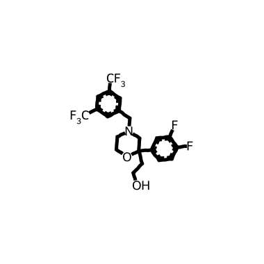 OCCC1(c2ccc(F)c(F)c2)CN(Cc2cc(C(F)(F)F)cc(C(F)(F)F)c2)CCO1